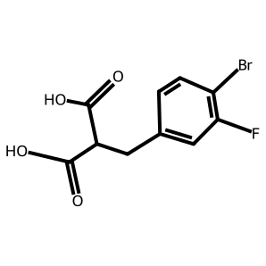 O=C(O)C(Cc1ccc(Br)c(F)c1)C(=O)O